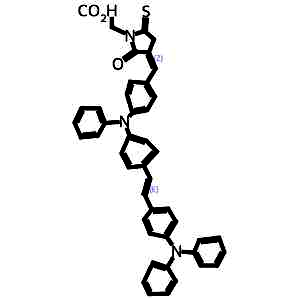 O=C(O)CN1C(=O)/C(=C\c2ccc(N(c3ccccc3)c3ccc(/C=C/c4ccc(N(c5ccccc5)c5ccccc5)cc4)cc3)cc2)CC1=S